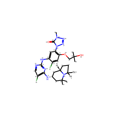 [2H]C1([2H])CC[C@H]2C[C@@H](Nc3nc(Nc4cc(-n5nnn(C)c5=O)c(OCC(C)(C)O)cc4F)ncc3F)CC(C)(C)N21